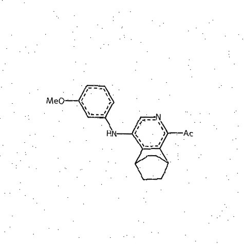 COc1cccc(Nc2cnc(C(C)=O)c3c2C2CCC3CC2)c1